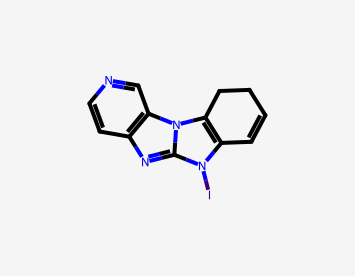 In1c2c(n3c4cnccc4nc13)CCC=C2